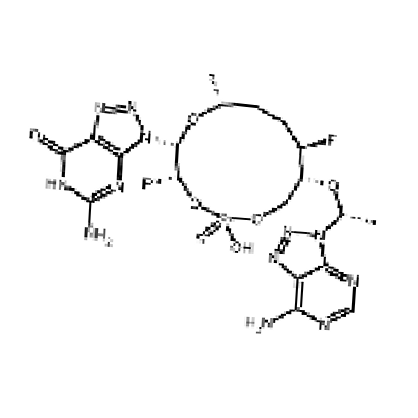 C[C@@H]1CC[C@@H](F)[C@H](O[C@H](C)n2nnc3c(N)ncnc32)COP(O)(=S)O[C@H](F)[C@H](n2nnc3c(=O)[nH]c(N)nc32)O1